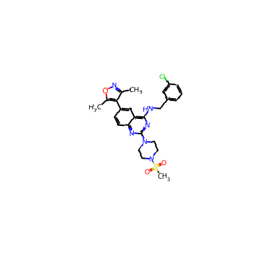 Cc1noc(C)c1-c1ccc2nc(N3CCN(S(C)(=O)=O)CC3)nc(NCc3cccc(Cl)c3)c2c1